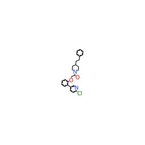 O=C(COc1ccccc1-c1ccc(Cl)nc1)N1CCC(CCc2ccccc2)CC1